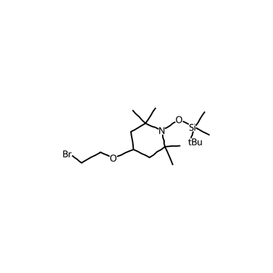 CC1(C)CC(OCCBr)CC(C)(C)N1O[Si](C)(C)C(C)(C)C